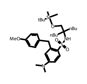 CCCCC(CCCC)(CO[Si](C)(C)C(C)(C)C)NS(=O)(=O)c1ccc(N(C)C)cc1Cc1ccc(OC)cc1